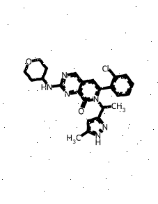 Cc1cc(C(C)n2c(-c3ccccc3Cl)cc3cnc(NC4CCOCC4)nc3c2=O)n[nH]1